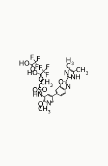 CCS(=O)(=O)Nc1cc(-c2ccc3nc(-c4nc(C)c(C)[nH]4)oc3c2)cnc1OC.O=C(O)C(F)(F)F.O=C(O)C(F)(F)F